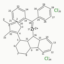 CC1=CCC(C2CCCC3C4C=CC=CC4[CH]([Zr+2]=[C](c4ccccc4)c4ccccc4)C23)=C1C.[Cl-].[Cl-]